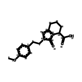 COc1ccc(CCn2nc3n(c2=O)C(C(=O)O)CCC3)cc1